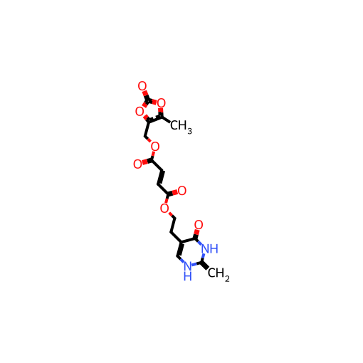 C=C1NC=C(CCOC(=O)/C=C/C(=O)OCc2oc(=O)oc2C)C(=O)N1